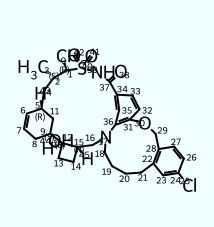 C[C@@H]1[C@@H](C)C[C@H]2C=CC[C@@](O)(C2)[C@@H]2CC[C@H]2CN2CCCCc3cc(Cl)ccc3COc3ccc(cc32)C(=O)NS1(=O)=O